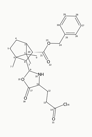 CC1(C)C2CCC1(C)C(C1NC(CCC(=O)Cl)C(=O)O1)[C@H]2C(=O)OCc1ccccc1